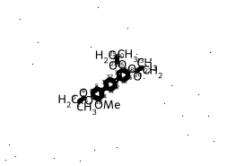 C=C(C)C(=O)Oc1ccc(-c2ccc(-c3ccc(OC(=O)C(=C)C)c(OC(=O)C(=C)C)c3)cc2)cc1OC